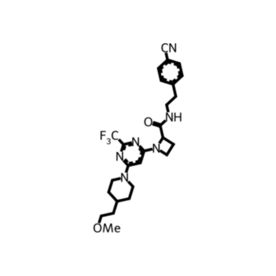 COCCC1CCN(c2cc(N3CCC3C(=O)NCCc3ccc(C#N)cc3)nc(C(F)(F)F)n2)CC1